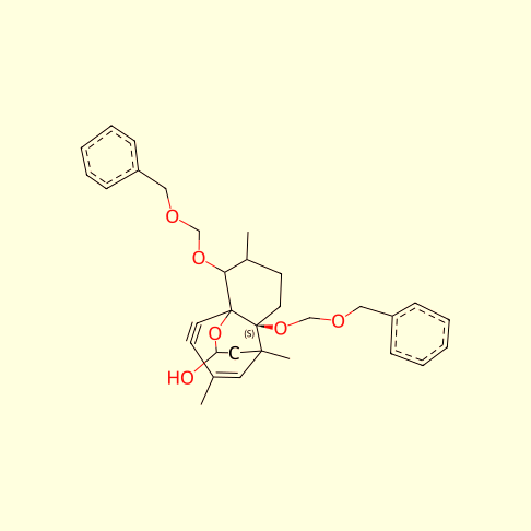 CC1=CC2(C)CC(O)OC3(C#C1)C(OCOCc1ccccc1)C(C)CC[C@]23OCOCc1ccccc1